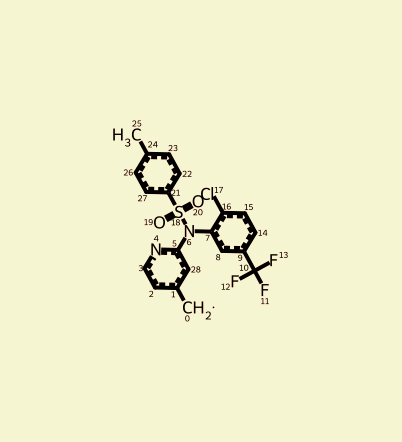 [CH2]c1ccnc(N(c2cc(C(F)(F)F)ccc2Cl)S(=O)(=O)c2ccc(C)cc2)c1